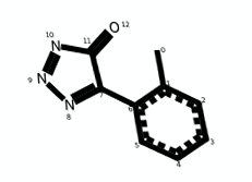 Cc1ccccc1C1=NN=NC1=O